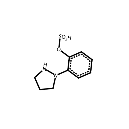 O=S(=O)(O)Oc1ccccc1N1CCCN1